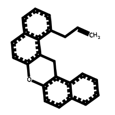 C=CCc1cccc2ccc3c(c12)Cc1c(ccc2ccccc12)O3